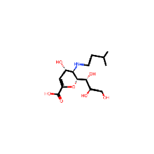 CC(C)CCN[C@H]1[C@H]([C@H](O)[C@H](O)CO)OC(C(=O)O)=C[C@@H]1O